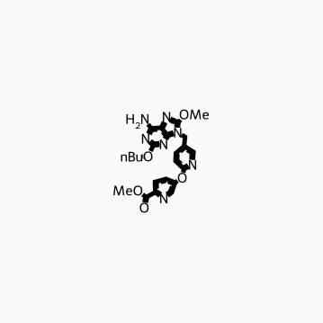 CCCCOc1nc(N)c2nc(OC)n(Cc3ccc(Oc4ccc(C(=O)OC)nc4)nc3)c2n1